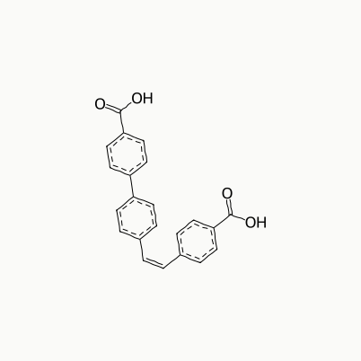 O=C(O)c1ccc(/C=C\c2ccc(-c3ccc(C(=O)O)cc3)cc2)cc1